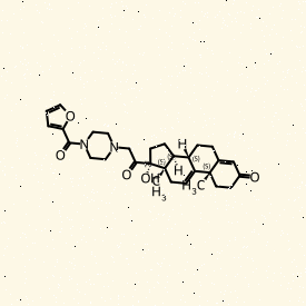 C[C@]12CCC(=O)C=C1CC[C@@H]1C2=CC[C@@]2(C)[C@H]1CC[C@]2(O)C(=O)CN1CCN(C(=O)c2ccco2)CC1